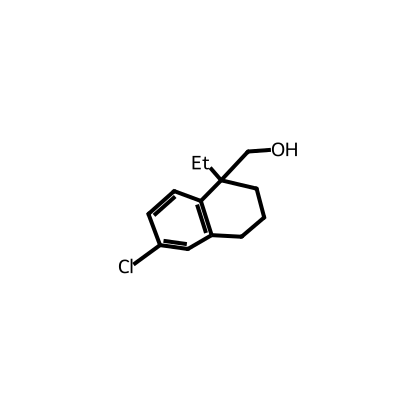 CCC1(CO)CCCc2cc(Cl)ccc21